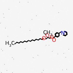 CCCCCCCCCCCCCCCCOCC(COC(=O)c1ccc(C[n+]2ccccc2)cc1)OCC